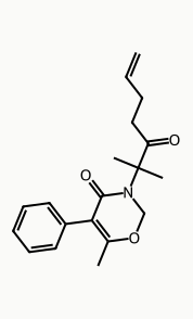 C=CCCC(=O)C(C)(C)N1COC(C)=C(c2ccccc2)C1=O